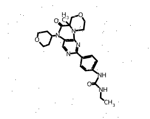 CCNC(=O)Nc1ccc(-c2ncc3c(n2)N2CCOCC2(C)C(=O)N3C2CCOCC2)cc1